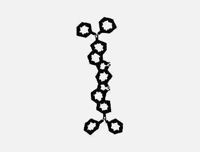 c1ccc(N(c2ccccc2)c2ccc3c(ccc4c5cc6c(cc5sc34)sc3c4ccc(N(c5ccccc5)c5ccccc5)cc4ccc63)c2)cc1